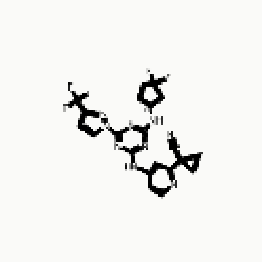 N#CC1(c2cc(Nc3nc(N[C@@H]4CCC(F)(F)C4)nc(-n4ccc(C(F)(F)F)n4)n3)ccn2)CC1